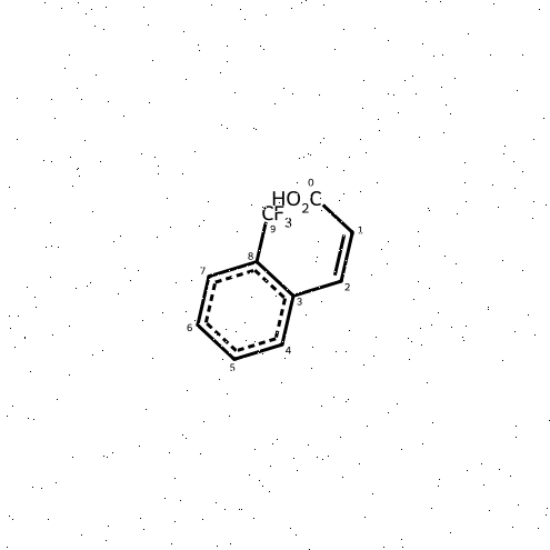 O=C(O)/C=C\c1ccccc1C(F)(F)F